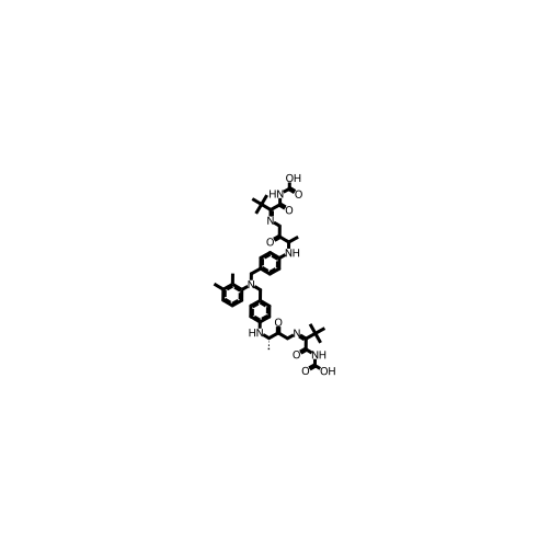 Cc1cccc(N(Cc2ccc(NC(C)C(=O)CN=C(C(=O)NC(=O)O)C(C)(C)C)cc2)Cc2ccc(N[C@@H](C)C(=O)CN=C(C(=O)NC(=O)O)C(C)(C)C)cc2)c1C